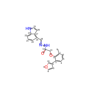 Cc1cccc(-c2ccoc2)c1OCC(=O)NN=Cc1cccc2[nH]ccc12